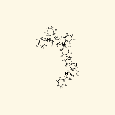 c1ccc(-c2nc3c(ccc4oc5cc(-c6ccc(N(c7ccccc7)c7ccc8c(c7)c7ccccc7n8-c7ccccc7)cc6)ccc5c43)o2)cc1